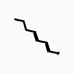 CCCC=CC=CF